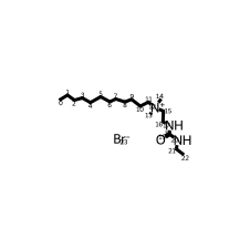 CCCCCCCCCCCC[N+](C)(C)CCNC(=O)NCC.[Br-]